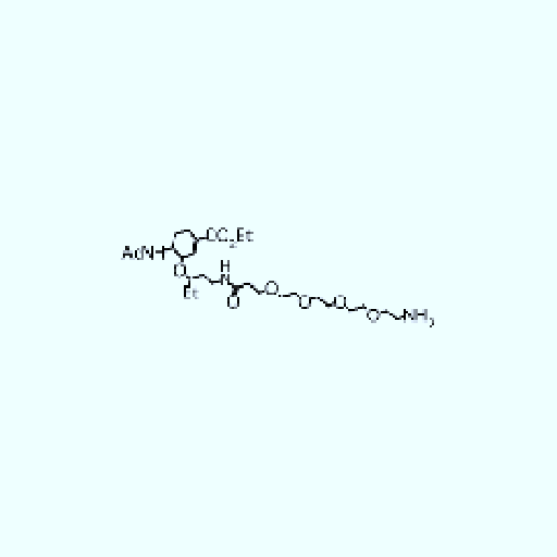 CCOC(=O)C1=C[C@@H](OC(CC)CCNC(=O)CCOCCOCCOCCOCCN)C(NC(C)=O)CC1